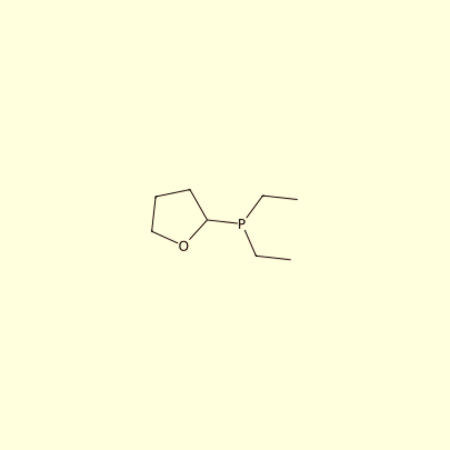 CCP(CC)C1CCCO1